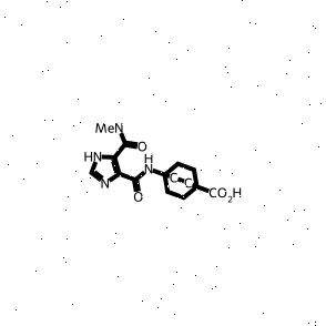 CNC(=O)c1[nH]cnc1C(=O)NC12CCC(C(=O)O)(CC1)CC2